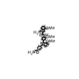 COc1cc(-c2nc(C3CCN(C(=O)CN)CC3)n3ccnc(OC)c23)ccc1NC(=O)c1cc2c(OC)cccc2n1C